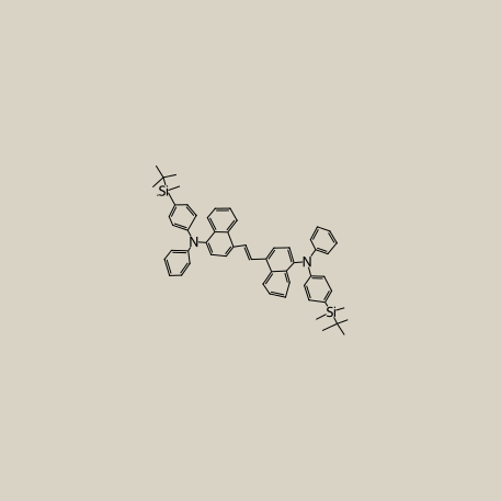 CC(C)(C)[Si](C)(C)c1ccc(N(c2ccccc2)c2ccc(/C=C/c3ccc(N(c4ccccc4)c4ccc([Si](C)(C)C(C)(C)C)cc4)c4ccccc34)c3ccccc23)cc1